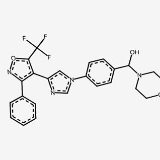 OC(c1ccc(-n2cnc(-c3c(-c4ccccc4)noc3C(F)(F)F)c2)cc1)N1CCOCC1